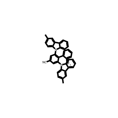 Cc1ccc2c(c1)c1ccccc1n2-c1cc(C#N)cc(-n2c3ccccc3c3cc(C)ccc32)c1-c1ccccc1C(F)(F)F